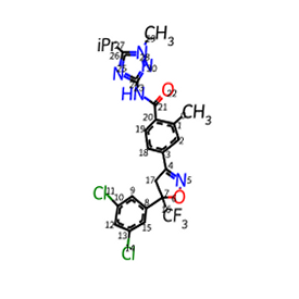 Cc1cc(C2=NOC(c3cc(Cl)cc(Cl)c3)(C(F)(F)F)C2)ccc1C(=O)Nc1nc(C(C)C)n(C)n1